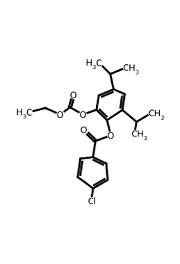 CCOC(=O)Oc1cc(C(C)C)cc(C(C)C)c1OC(=O)c1ccc(Cl)cc1